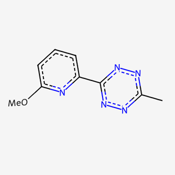 COc1cccc(-c2nnc(C)nn2)n1